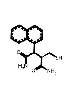 NC(=O)C(c1cccc2ccccc12)[C@@H](CS)C(N)=O